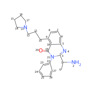 CC(N)c1nc2cccc(CCCN3CCCC3)c2c(=O)n1-c1ccccc1